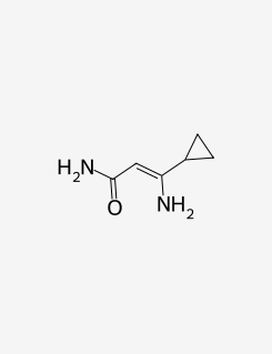 NC(=O)/C=C(\N)C1CC1